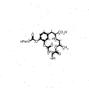 CCCCCC(=O)Oc1ccc(C[C@H](NCC(C)OC(=O)CC(C)C)C(=O)O)cc1OC(=O)CCCCC